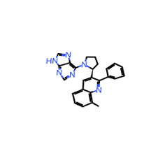 Cc1cccc2cc([C@@H]3CCCN3c3ncnc4[nH]cnc34)c(-c3ccccc3)nc12